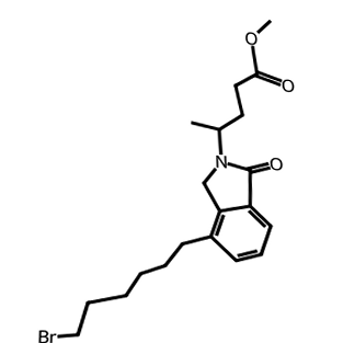 COC(=O)CCC(C)N1Cc2c(CCCCCCBr)cccc2C1=O